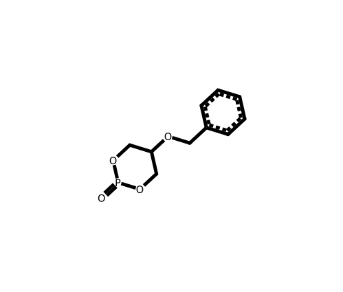 O=[P]1OCC(OCc2ccccc2)CO1